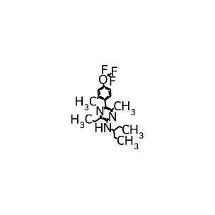 CCc1nc(-c2ccc(OC(F)(F)F)cc2C)c(C)nc1NC(CC)CC